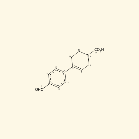 O=Cc1ccc(C2=CCN(C(=O)O)CC2)cc1